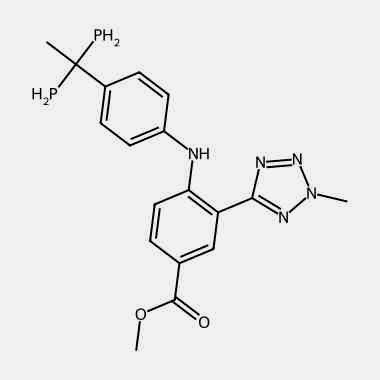 COC(=O)c1ccc(Nc2ccc(C(C)(P)P)cc2)c(-c2nnn(C)n2)c1